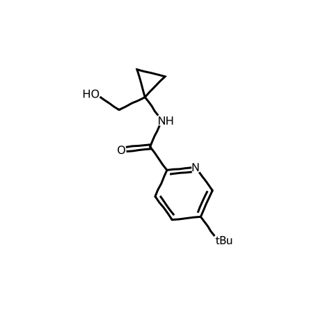 CC(C)(C)c1ccc(C(=O)NC2(CO)CC2)nc1